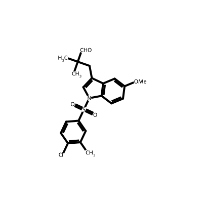 COc1ccc2c(c1)c(CC(C)(C)C=O)cn2S(=O)(=O)c1ccc(Cl)c(C)c1